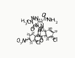 Cn1nnc2c(C(N)=O)ncn2c1=O.O=C(Nc1ccc([N+](=O)[O-])cc1Cl)c1cc(Cl)ccc1O